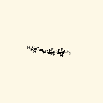 C[PH](=O)OCCCOCC(F)(F)C(F)(F)OCC(F)(F)C(F)(F)C(F)(F)F